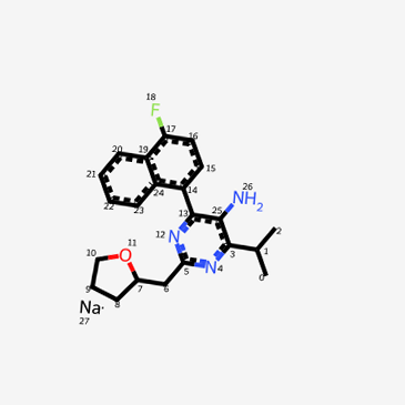 CC(C)c1nc(CC2CCCO2)nc(-c2ccc(F)c3ccccc23)c1N.[Na]